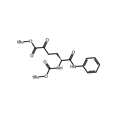 CC(C)(C)OC(=O)N[C@@H](CCC(=O)C(=O)OC(C)(C)C)C(=O)Nc1ccccc1